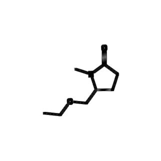 CCOCC1CCC(=O)N1C